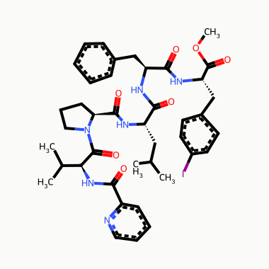 COC(=O)[C@H](Cc1ccc(I)cc1)NC(=O)[C@H](Cc1ccccc1)NC(=O)[C@H](CC(C)C)NC(=O)[C@@H]1CCCN1C(=O)[C@@H](NC(=O)c1ccccn1)C(C)C